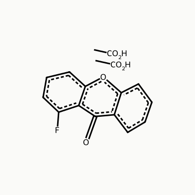 CC(=O)O.CC(=O)O.O=c1c2ccccc2oc2cccc(F)c12